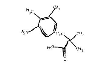 CC(C)(C)C(=O)O.Cc1cccc(N)c1C